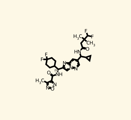 Cc1nonc1C(=O)N[C@H](c1cn2ncc(C(NC(=O)CC(C)(C)C(F)F)C3CC3)cc2n1)C1CCC(F)(F)CC1